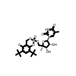 Cc1cn([C@@H]2O[C@](F)(COP3(=O)OCc4c(F)c(C(C)(C)C)cc(C(C)(C)C)c4O3)[C@@H](O)[C@H]2O)c(=O)[nH]c1=O